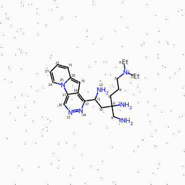 CCN(CC)CCCC(N)(CN)CC(N)c1nncc2c1cc1ccccn12